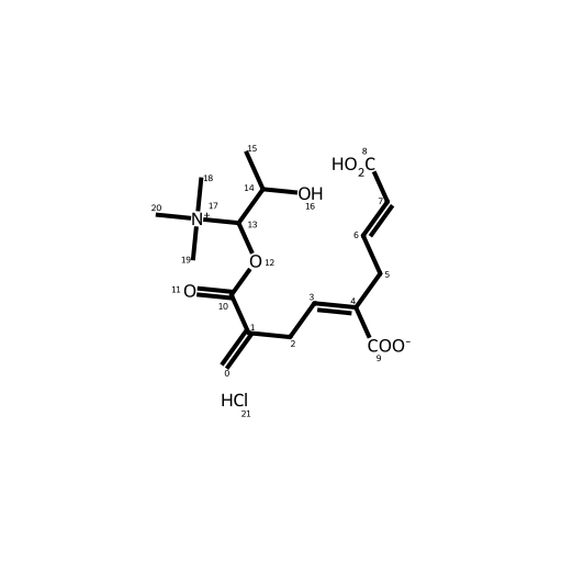 C=C(CC=C(CC=CC(=O)O)C(=O)[O-])C(=O)OC(C(C)O)[N+](C)(C)C.Cl